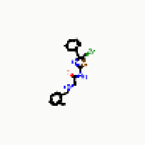 Cc1ccccc1CNCC(=O)Nc1nc(-c2ccccc2)c(Br)s1